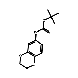 CC(C)(C)OC(=O)Nc1ccc2c(c1)OCCO2